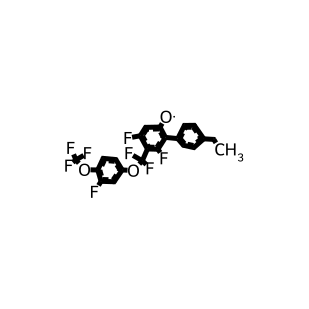 CCc1ccc(-c2c([O])cc(F)c(C(F)(F)Oc3ccc(OC(F)(F)F)c(F)c3)c2F)cc1